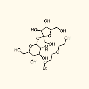 CCOCCOCCO.OC[C@H]1O[C@@](CO)(O[C@H]2O[C@H](CO)[C@@H](O)[C@H](O)[C@H]2O)[C@@H](O)[C@@H]1O